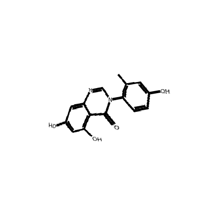 Cc1cc(O)ccc1-n1cnc2cc(O)cc(O)c2c1=O